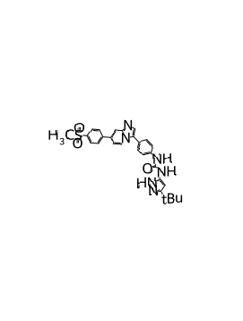 CC(C)(C)c1cc(NC(=O)Nc2ccc(-c3cnc4cc(-c5ccc(S(C)(=O)=O)cc5)ccn34)cc2)[nH]n1